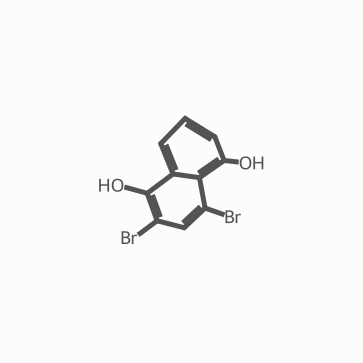 Oc1c(Br)cc(Br)c2c(O)cccc12